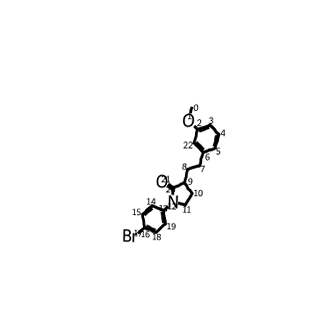 COc1cccc(CCC2CCN(c3ccc(Br)cc3)C2=O)c1